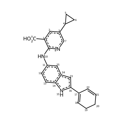 O=C(O)c1cc(C2CC2)cnc1Nc1ccc2[nH]c(C3=CCCC=C3)cc2c1